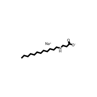 CCCCCCCCCCCCNCCC(=O)[O-].[Na+]